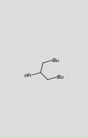 CCCC(CC(C)CC)CC(C)CC